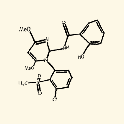 COC1=CC(OC)=NC(NC(=O)c2ccccc2O)N1c1cccc(Cl)c1S(C)(=O)=O